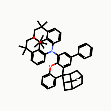 CC1(C)CCC(C)(C)c2c(N(c3cc(-c4ccccc4)cc4c3Oc3ccccc3C43C4CC5CC6CC3C64C5)c3cccc4c3C(C)(C)CCC4(C)C)cccc21